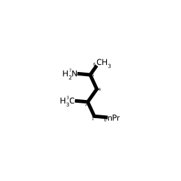 CCCCC(C)CC(C)N